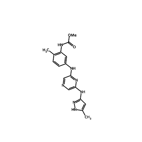 COC(=O)Nc1cc(Nc2cncc(Nc3cc(C)[nH]n3)n2)ccc1C